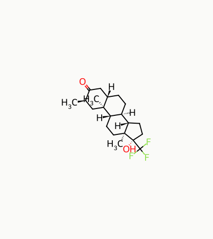 C[C@@H]1C[C@@]2(C)[C@@H](CC[C@@H]3[C@@H]2CC[C@@]2(C)[C@H]3CC[C@@]2(O)C(F)(F)F)CC1=O